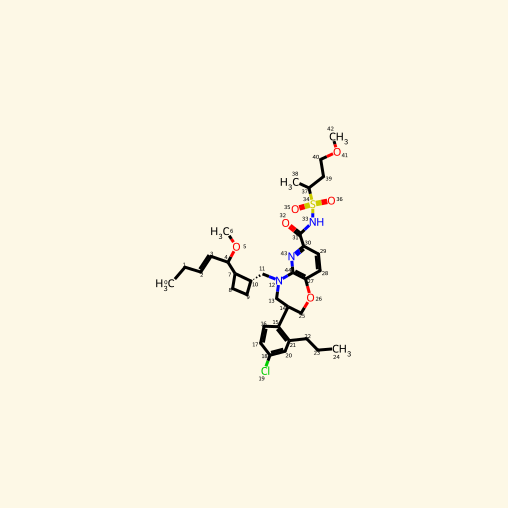 CC/C=C/C(OC)C1CC[C@H]1CN1CC(c2ccc(Cl)cc2CCC)COc2ccc(C(=O)NS(=O)(=O)C(C)CCOC)nc21